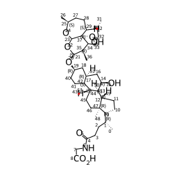 C[C@H](CCC(=O)NCC(=O)O)[C@H]1CC[C@H]2[C@@H]3[C@H](O)C[C@@H]4C[C@H](O[C@H]5OC6O[C@@H](C)CC[C@H]7[C@H](C)CCC([C@H]5C)[C@@]67OO)CC[C@]4(C)[C@H]3CC[C@]12C